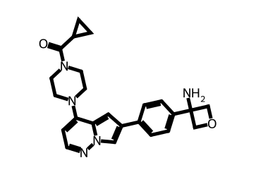 NC1(c2ccc(-c3cc4c(N5CCN(C(=O)C6CC6)CC5)ccnn4c3)cc2)COC1